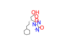 CN(C)C(=O)c1noc([C@H](CCCC2CCCCC2)CC(=O)O)n1